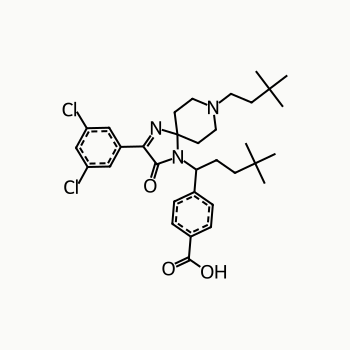 CC(C)(C)CCC(c1ccc(C(=O)O)cc1)N1C(=O)C(c2cc(Cl)cc(Cl)c2)=NC12CCN(CCC(C)(C)C)CC2